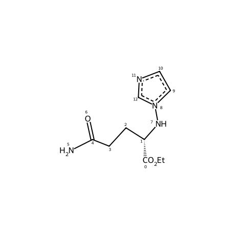 CCOC(=O)[C@H](CCC(N)=O)Nn1ccnc1